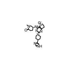 CN1C[C@@H](Nc2nc(N3CCC(c4c[nH]cn4)CC3)nc3c2[S+]([O-])CC3)CCC1=O